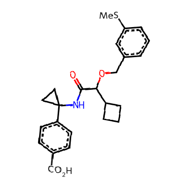 CSc1cccc(COC(C(=O)NC2(c3ccc(C(=O)O)cc3)CC2)C2CCC2)c1